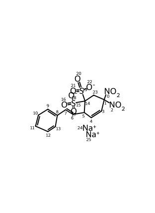 O=[N+]([O-])C1([N+](=O)[O-])C=CC(C=Cc2ccccc2)C(S(=O)(=O)[O-])(S(=O)(=O)[O-])C1.[Na+].[Na+]